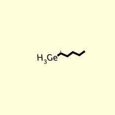 CCCC[CH][GeH3]